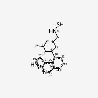 CC(C)CC(CCCNS)c1ccnc2cnc3[nH]ccc3c12